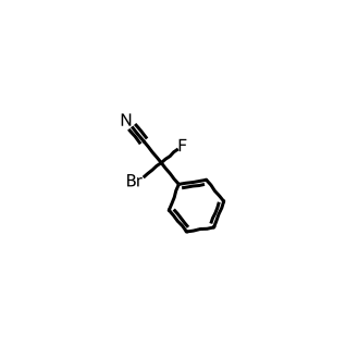 N#CC(F)(Br)c1ccccc1